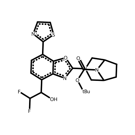 CC(C)(C)OC(=O)N1C2CCC1CN(c1nc3c(C(O)C(F)F)ccc(-c4nccs4)c3o1)C2